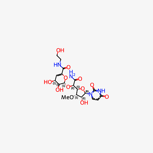 CO[C@H]1[C@@H](O)[C@H](n2ccc(=O)[nH]c2=O)O[C@@H]1[C@@H](O[C@H]1OC(C(=O)NCCO)=C[C@H](O)[C@@H]1O)C(N)=O